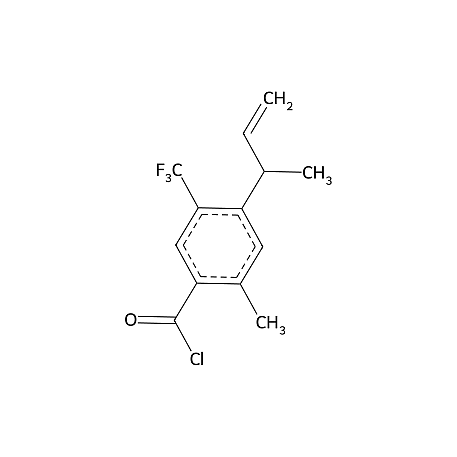 C=CC(C)c1cc(C)c(C(=O)Cl)cc1C(F)(F)F